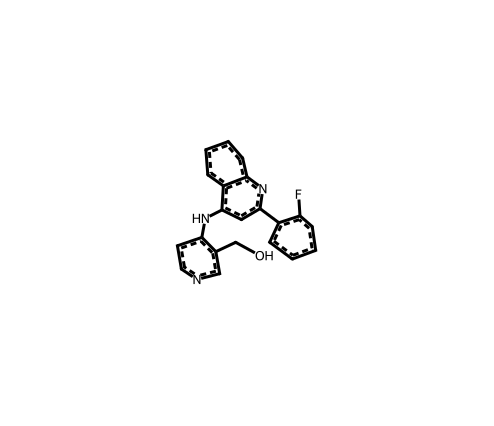 OCc1cnccc1Nc1cc(-c2ccccc2F)nc2ccccc12